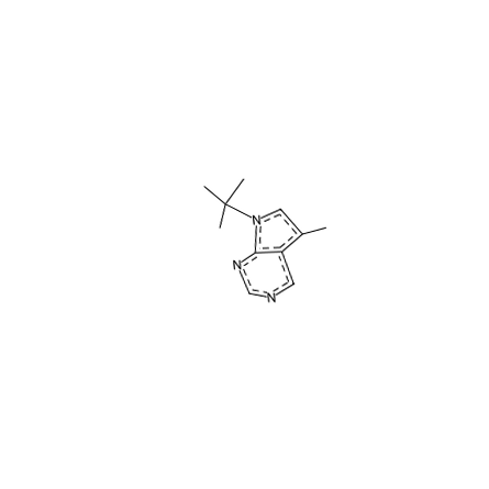 Cc1cn(C(C)(C)C)c2ncncc12